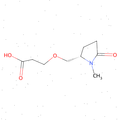 CN1C(=O)CC[C@H]1COCCC(=O)O